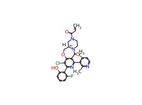 C=CC(=O)N1CCN2C(=O)c3c(-c4c(C)ccnc4C)nc(-c4c(O)cccc4F)c(Cl)c3OC[C@H]2C1